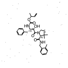 C=CC(C)OC(=O)N[C@@H](Cc1ccccc1)[C@H](O)C(=O)N1CSC(C)(C)[C@H]1C(=O)NCc1ccccc1C